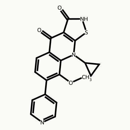 COc1c(-c2ccncc2)ccc2c(=O)c3c(=O)[nH]sc3n(C3CC3)c12